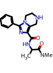 CNC(=O)C(C)NC(=O)c1nc(-c2ccccc2)n2c1CNCC2